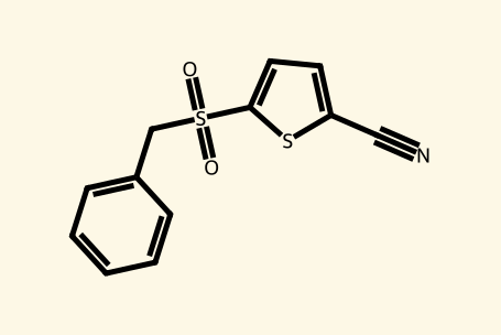 N#Cc1ccc(S(=O)(=O)Cc2ccccc2)s1